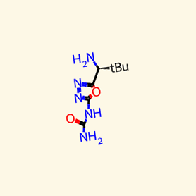 CC(C)(C)[C@H](N)c1nnc(NC(N)=O)o1